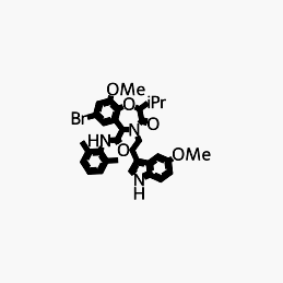 COc1ccc2[nH]cc(CCN3C(=O)C(C(C)C)Oc4c(OC)cc(Br)cc4C3C(=O)Nc3c(C)cccc3C)c2c1